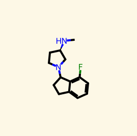 CN[C@@H]1CCN(C2CCc3cccc(F)c32)C1